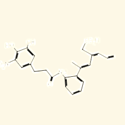 C=C/C=C(\C=C(/C)c1ccccc1NC(=O)CCc1cc(O)c(O)c([N+](=O)[O-])c1)CC(=O)O